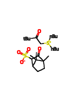 CC12CCC(C(S(=O)(=O)[O-])C1=O)C2(C)C.CCCC[S+](CCCC)CC(=O)C(C)(C)C